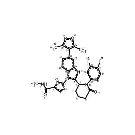 CNC(=O)c1csc(-n2c([C@@H]3CCCC(=O)N3c3ccc(F)c(F)c3)nc3cc(-c4c(C)noc4C)ccc32)n1